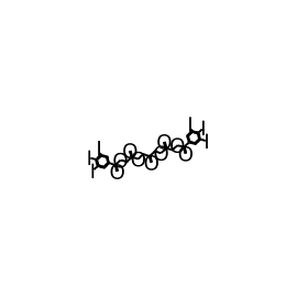 O=C(COC(=O)COC(=O)c1cc(I)c(I)c(I)c1)COC(=O)COC(=O)c1cc(I)c(I)c(I)c1